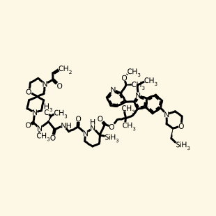 C=CC(=O)N1CCOC2(CCN(C(=O)N(C)[C@H](C(=O)NCC(=O)N3CCCC([SiH3])(C(=O)OCC(C)(C)Cc4c(-c5cccnc5[C@H](C)OC)n(CC)c5ccc(N6CCO[C@@H](C[SiH3])C6)cc45)N3)C(C)C)CC2)C1